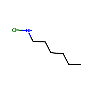 CCCCCCNCl